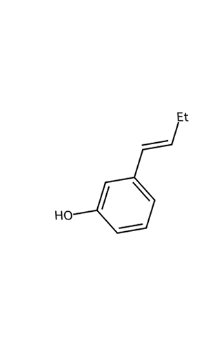 CC/C=C/c1cccc(O)c1